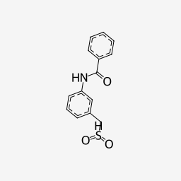 O=C(Nc1cccc(C[SH](=O)=O)c1)c1ccccc1